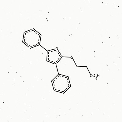 O=C(O)CCSc1nc(-c2ccccc2)cn1-c1ccccc1